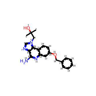 CC(C)(O)Cn1cnc2c(N)nc3cc(OCc4ccccc4)ccc3c21